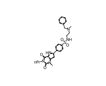 CCCn1c(=O)c2[nH]c(-c3ccc(S(=O)(=O)NCCN(C)Cc4ccccc4)cc3)cc2n(C)c1=O